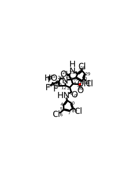 O=C(Nc1cc(Cl)cc(Cl)c1)C1C2C[C@@](O)(C(F)(F)F)CN2C2(C(=O)Nc3c(Cl)cc(Cl)cc32)C1C(=O)O